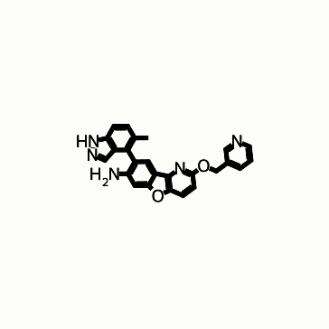 Cc1ccc2[nH]ncc2c1-c1cc2c(cc1N)oc1ccc(OCc3cccnc3)nc12